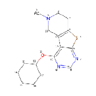 CC(=O)N1CCc2sc3ncnc(OC4CCCCC4)c3c2C1